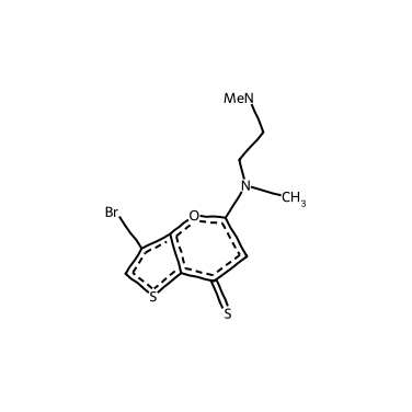 CNCCN(C)c1cc(=S)c2scc(Br)c2o1